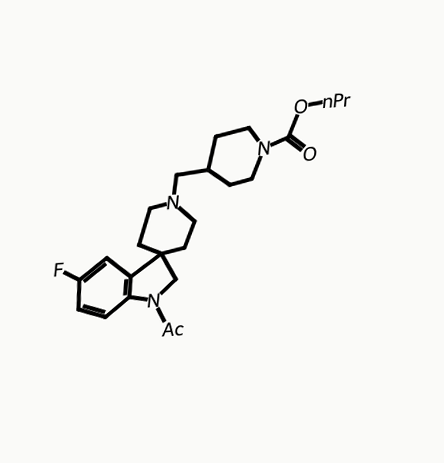 CCCOC(=O)N1CCC(CN2CCC3(CC2)CN(C(C)=O)c2ccc(F)cc23)CC1